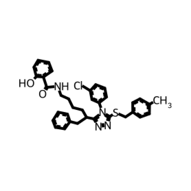 Cc1ccc(CSc2nnc(C(CCCCNC(=O)c3ccccc3O)Cc3ccccc3)n2-c2cccc(Cl)c2)cc1